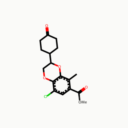 COC(=O)c1cc(Cl)c2c(c1C)OC(C1CCC(=O)CC1)CO2